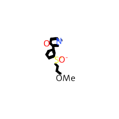 COCCCC[S+]([O-])c1cccc(-c2cn(C)ccc2=O)c1